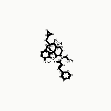 CC(=O)Oc1ccc2c3c1OC1C(N(CC(C)C)C(=O)/C=C/c4ccccc4)CC[C@@]4(O)[C@@H](C2)N(CC2CC2)CC[C@]314